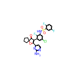 Nc1nccc(C2=C(c3cc(Cl)cc(NS(=O)(=O)c4cc(F)ccc4F)c3F)C(=O)C3(CCCC3)O2)n1